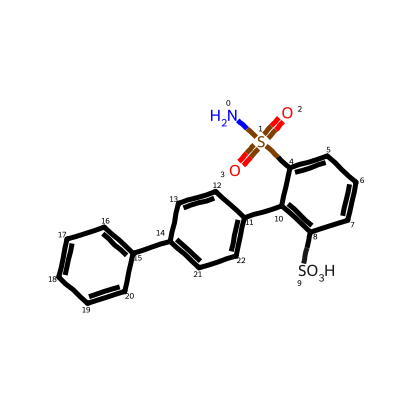 NS(=O)(=O)c1cccc(S(=O)(=O)O)c1-c1ccc(-c2ccccc2)cc1